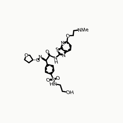 CNCCOc1ccc2nc(NC(=O)/C(=N/O[C@@H]3CCOC3)c3ccc(S(=O)(=O)NCCO)cc3)sc2n1